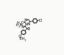 C=C1N=CC(c2ccc(Cl)cc2)=NN1/C(=N\N)C1(c2ccc(OC)cc2)CC1